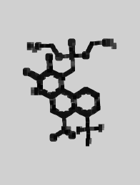 CCOP(=O)(Cn1c(=O)c(=O)[nH]c2cc([N+](=O)[O-])c3c(C(F)(F)F)cccc3c21)OCC